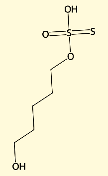 O=S(O)(=S)OCCCCCO